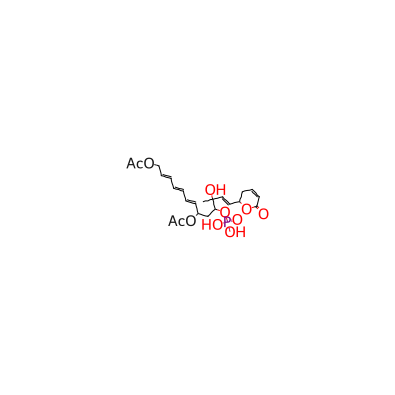 CC(=O)OCC=CC=CC=CC(CC(OP(=O)(O)O)C(C)(O)C=CC1CC=CC(=O)O1)OC(C)=O